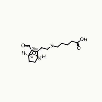 O=C[C@H]1[C@@H](CCSCCCCC(=O)O)[C@H]2CC[C@@H]1O2